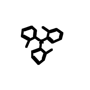 Cc1cccc[c]1[Al]([c]1ccccc1C)[c]1ccccc1C